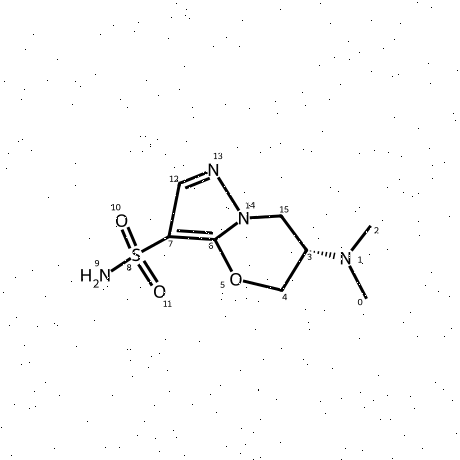 CN(C)[C@@H]1COc2c(S(N)(=O)=O)cnn2C1